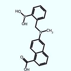 CN(Cc1ccccc1B(O)O)c1ccc2c(C(=O)O)cccc2c1